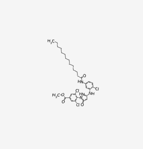 CCCCCCCCCCCCCC(=O)Nc1ccc(Cl)c(Nc2cc(=O)n(-c3c(Cl)cc(C(=O)OC)cc3Cl)[nH]2)c1